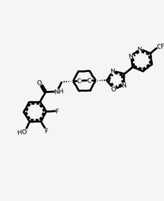 O=C(NC[C@]12CC[C@](c3nc(-c4ccc(C(F)(F)F)nn4)no3)(CC1)CC2)c1ccc(O)c(F)c1F